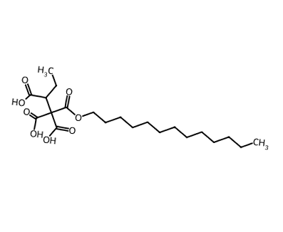 CCCCCCCCCCCCCOC(=O)C(C(=O)O)(C(=O)O)C(CC)C(=O)O